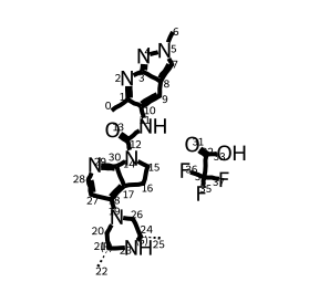 Cc1nc2nn(C)cc2cc1NC(=O)N1CCc2c(N3C[C@@H](C)N[C@@H](C)C3)ccnc21.O=C(O)C(F)(F)F